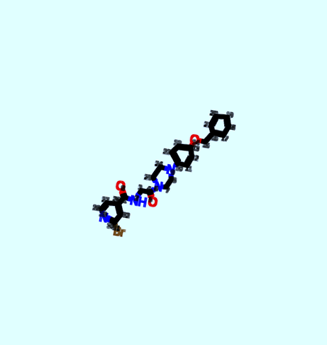 O=C(NCC(=O)N1CCN(c2ccc(OCc3ccccc3)cc2)CC1)c1ccnc(Br)c1